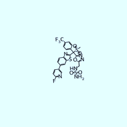 CS(=O)(=O)C(c1ccc(C(F)(F)F)cc1)(c1nnc(CNS(N)(=O)=O)o1)c1nc2ccc(-c3ccc(F)nc3)cc2s1